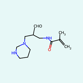 C=C(C)C(=O)NCC(C=O)CN1CCCNC1